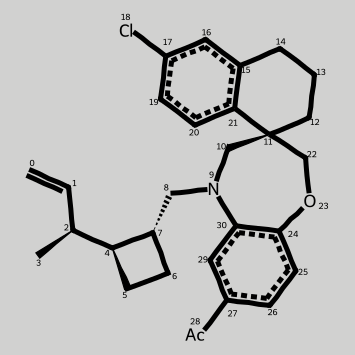 C=C[C@H](C)[C@@H]1CC[C@H]1CN1C[C@@]2(CCCc3cc(Cl)ccc32)COc2ccc(C(C)=O)cc21